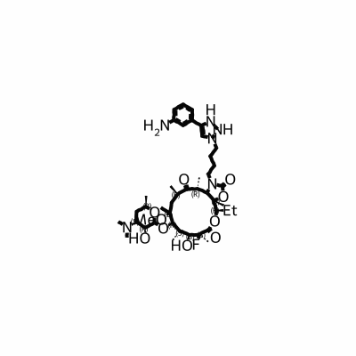 CC[C@H]1OC(=O)[C@@](C)(F)[C@@H](O)[C@H](C)[C@@H](OC2O[C@H](C)C[C@H](N(C)C)[C@H]2O)[C@@](C)(OC)C[C@@H](C)C(=O)[C@H](C)C2N(CCCCN3C=C(c4cccc(N)c4)NN3)C(=O)O[C@@]21C